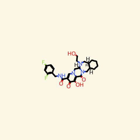 O=C(NCc1ccc(F)cc1F)c1cn2c(c(O)c1=O)C(=O)N1C[C@@H]3CCCC[C@H]3CN(CCO)[C@@H]1C2